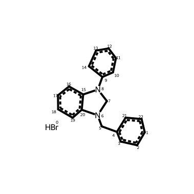 Br.c1ccc(CN2CN(c3ccccc3)c3ccccc32)cc1